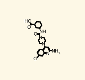 Nc1cc(N2CCN(C(=O)NC3CCCC(C(=O)O)C3)CC2)c2ccc(Cl)cc2n1